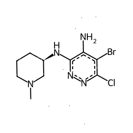 CN1CCC[C@@H](Nc2nnc(Cl)c(Br)c2N)C1